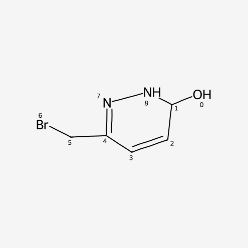 OC1C=CC(CBr)=NN1